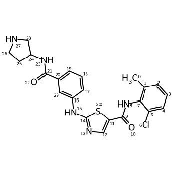 Cc1cccc(Cl)c1NC(=O)c1cnc(Nc2cccc(C(=O)NC3CCNC3)c2)s1